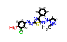 Cn1nccc1/N=N/c1sc(/N=N/c2ccc(O)c(Cl)c2)nc1-c1ccccc1